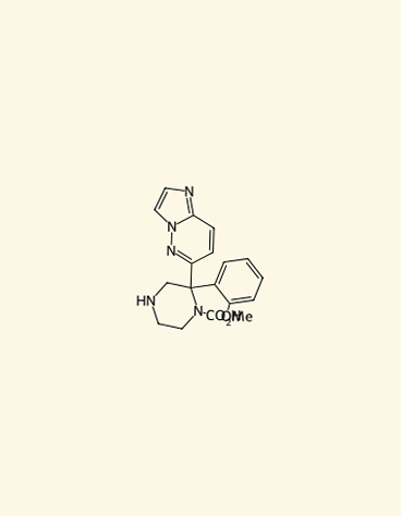 COc1ccccc1C1(c2ccc3nccn3n2)CNCCN1C(=O)O